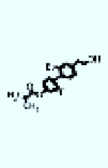 C=C(C)C(=O)Oc1ccc(-c2ccc(CCO)cc2CC)c(F)c1